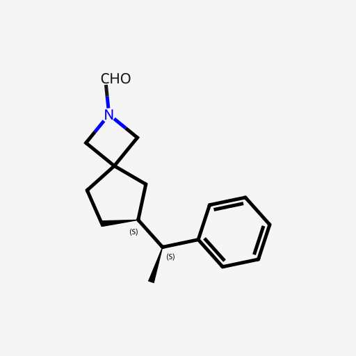 C[C@H](c1ccccc1)[C@H]1CCC2(C1)CN(C=O)C2